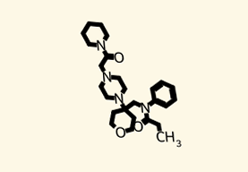 CCC(=O)N(CC1(N2CCN(CC(=O)N3CCCCC3)CC2)CCOCC1)c1ccccc1